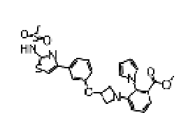 COC(=O)c1cccc(N2CC(Oc3cccc(-c4csc(NS(C)(=O)=O)n4)c3)C2)c1-n1cccc1